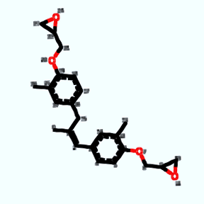 CC(=Cc1ccc(OCC2CO2)c(C)c1)Cc1ccc(OCC2CO2)c(C)c1